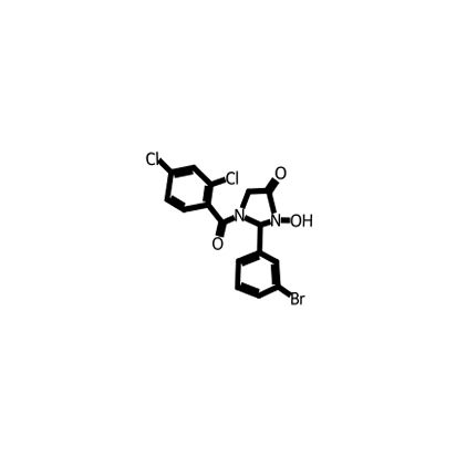 O=C1CN(C(=O)c2ccc(Cl)cc2Cl)C(c2cccc(Br)c2)N1O